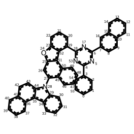 c1ccc(-c2nc(-c3ccc4ccccc4c3)nc(-c3cccc4oc5cc(-n6c7ccccc7c7c8ccccc8ccc76)c6ccccc6c5c34)n2)cc1